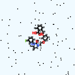 CCC(C)CN(CCOC1CCCC(OCc2cccc(C)c2C(=O)O)C1)C(=O)Nc1cccc(F)c1